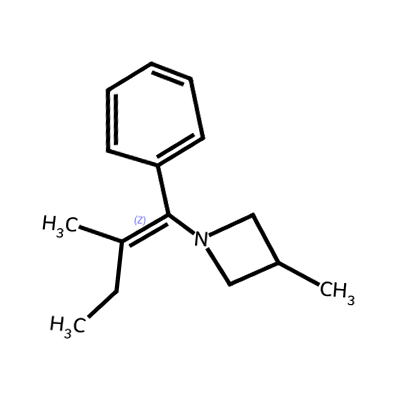 CC/C(C)=C(/c1ccccc1)N1CC(C)C1